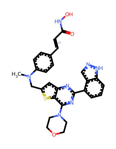 CN(Cc1cc2nc(-c3cccc4[nH]ncc34)nc(N3CCOCC3)c2s1)c1ccc(/C=C/C(=O)NO)cc1